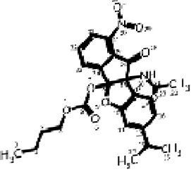 CCCCOC(=O)OC12Oc3cc(C(C)C)ccc3C1(NC(C)=O)C(=O)c1c([N+](=O)[O-])cccc12